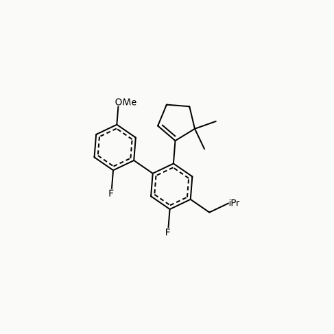 COc1ccc(F)c(-c2cc(F)c(CC(C)C)cc2C2=CCCC2(C)C)c1